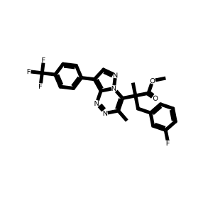 COC(=O)C(C)(Cc1cccc(F)c1)c1c(C)nnc2c(-c3ccc(C(F)(F)F)cc3)cnn12